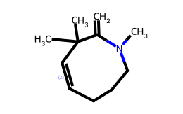 C=C1N(C)CCC/C=C\C1(C)C